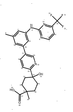 Cc1cc(Nc2nccc(C(F)(F)F)n2)cc(-c2ccc(C3(O)CCC(C)(C(=O)O)CC3)nc2)c1